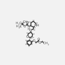 CCOC(=O)COc1ccccc1[C@@H]1CC[C@H](OCC2NCCCC2NC(=O)OC(C)(C)C)CO1